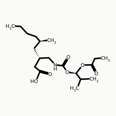 CCCC[C@@H](C)C[C@H](CNC(=O)O[C@@H](OC(=O)CC)C(C)C)CC(=O)O